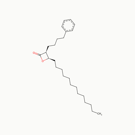 CCCCCCCCCCCCC[C@H]1OC(=O)[C@H]1CCCCc1ccccc1